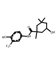 CC1(C)CC(O)CC(C)(C(=O)Nc2ccc(C#N)c(C(F)(F)F)c2)C1